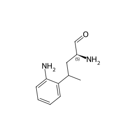 CC(C[C@H](N)C=O)c1ccccc1N